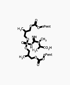 CCCCCOC(=O)OCC(C)COP(=O)(NC(=N)N(C)C(C)C(=O)O)OCC(C)COC(=O)OCCCCC